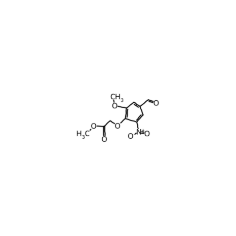 COC(=O)COc1c(OC)cc(C=O)cc1[N+](=O)[O-]